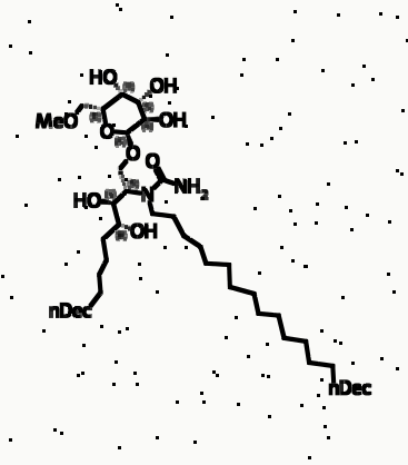 CCCCCCCCCCCCCCCCCCCCCCCCN(C(N)=O)[C@@H](CO[C@H]1O[C@H](COC)[C@H](O)[C@H](O)[C@H]1O)[C@H](O)[C@H](O)CCCCCCCCCCCCCC